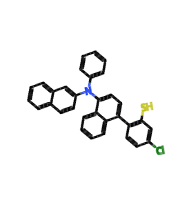 Sc1cc(Cl)ccc1-c1ccc(N(c2ccccc2)c2ccc3ccccc3c2)c2ccccc12